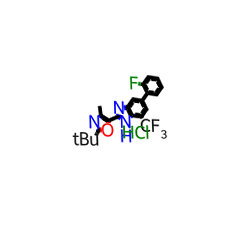 Cc1nc(C(C)(C)C)oc1-c1nc2cc(-c3ccccc3F)cc(C(F)(F)F)c2[nH]1.Cl